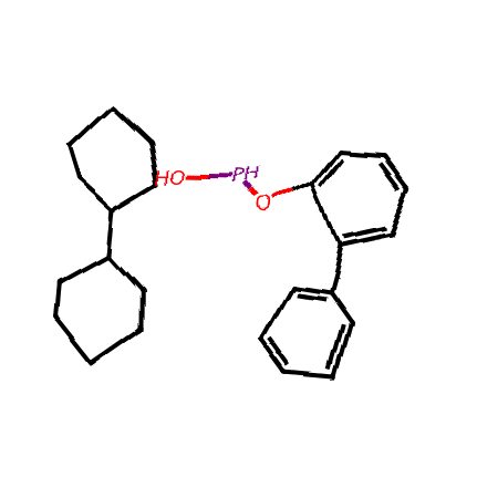 C1CCC(C2CCCCC2)CC1.OPOc1ccccc1-c1ccccc1